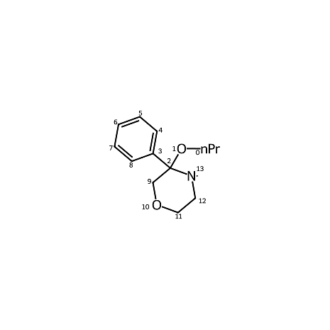 CCCOC1(c2ccccc2)COCC[N]1